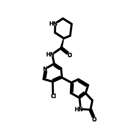 O=C1Cc2ccc(-c3cc(NC(=O)[C@@H]4CCCNC4)ncc3Cl)cc2N1